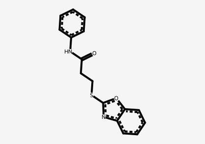 O=C(CCSc1nc2ccccc2o1)Nc1ccccc1